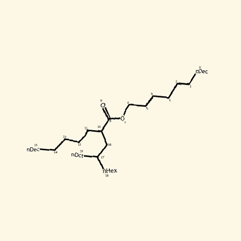 CCCCCCCCCCCCCCCCOC(=O)C(CCCCCCCCCCCCCC)CC(CCCCCC)CCCCCCCC